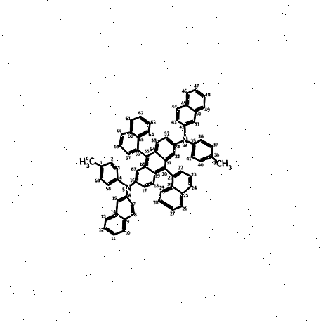 Cc1ccc(N(c2ccc3ccccc3c2)c2ccc3c(-c4cccc5ccccc45)c4cc(N(c5ccc(C)cc5)c5ccc6ccccc6c5)ccc4c(-c4cccc5ccccc45)c3c2)cc1